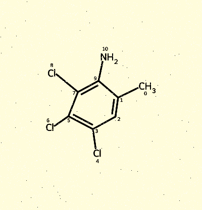 Cc1cc(Cl)c(Cl)c(Cl)c1N